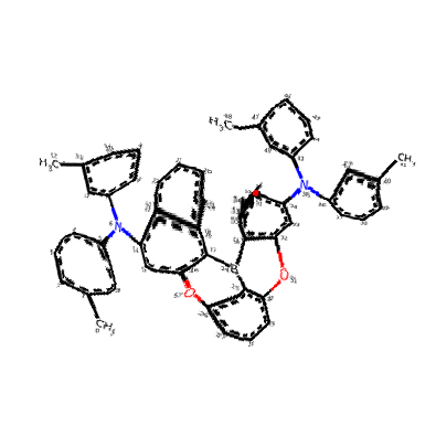 Cc1cccc(N(c2cccc(C)c2)c2cc3c(c4ccccc24)B2c4c(cccc4Oc4cc(N(c5cccc(C)c5)c5cccc(C)c5)c5ccccc5c42)O3)c1